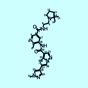 Cc1ncc(C(=O)NCCN2CCCC2(C)C)cc1NC(=O)c1cnn2cc(-c3cnn(C)c3)sc12